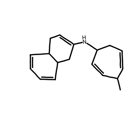 CC1C=CCC(NC2=CCC3C=CC=CC3C2)C=C1